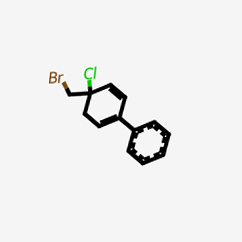 ClC1(CBr)C=CC(c2ccccc2)=CC1